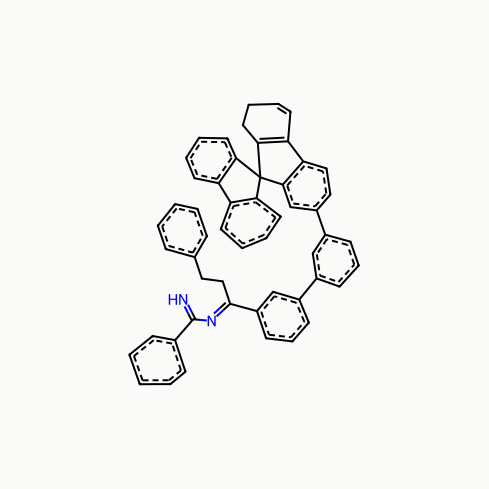 N=C(/N=C(\CCc1ccccc1)c1cccc(-c2cccc(-c3ccc4c(c3)C3(C5=C4C=CCC5)c4ccccc4-c4ccccc43)c2)c1)c1ccccc1